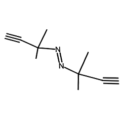 C#CC(C)(C)/N=N/C(C)(C)C#C